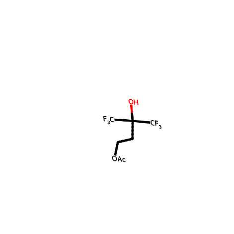 CC(=O)OCCC(O)(C(F)(F)F)C(F)(F)F